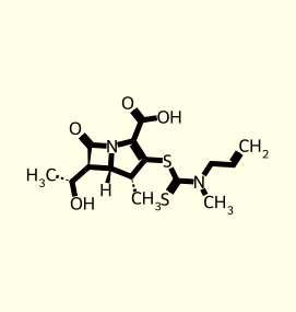 C=CCN(C)C(=S)SC1=C(C(=O)O)N2C(=O)[C@H]([C@@H](C)O)[C@H]2[C@H]1C